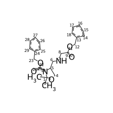 CC1(C)OCC(CNCC(=O)OCc2ccccc2)N1C(=O)OCc1ccccc1